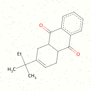 CCC(C)(C)C1=CCC2C(=O)c3ccccc3C(=O)C2C1